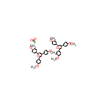 COc1ccc(-c2cc(-c3ccc(OC)cc3)[o+]c(-c3ccc(OC)cc3)c2)cc1.COc1ccc(-c2cc(-c3ccc(OC)cc3)[o+]c(-c3ccc(OC)cc3)c2)cc1.[O-]B([O-])F